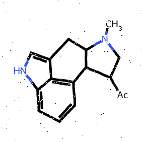 CC(=O)C1CN(C)C2Cc3c[nH]c4cccc(c34)C12